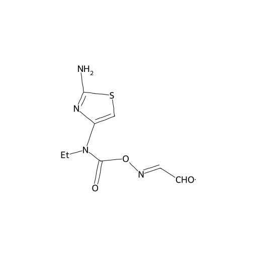 CCN(C(=O)ON=C[C]=O)c1csc(N)n1